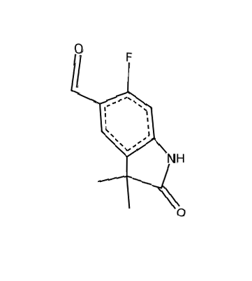 CC1(C)C(=O)Nc2cc(F)c(C=O)cc21